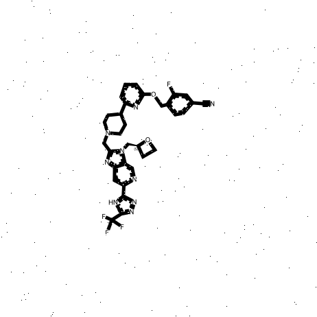 N#Cc1ccc(COc2cccc(C3CCN(Cc4nc5cc(-c6nnc(C(F)(F)F)[nH]6)ncc5n4C[C@@H]4CCO4)CC3)n2)c(F)c1